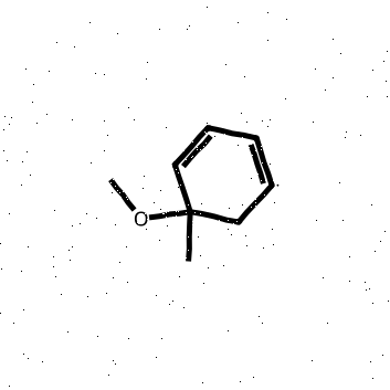 COC1(C)C=CC=[C]C1